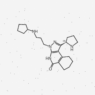 O=c1[nH]c2c(c([C@H]3CCCN3)nn2CCCNC2CCCC2)c2c1CCCC2